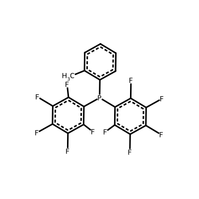 Cc1ccccc1P(c1c(F)c(F)c(F)c(F)c1F)c1c(F)c(F)c(F)c(F)c1F